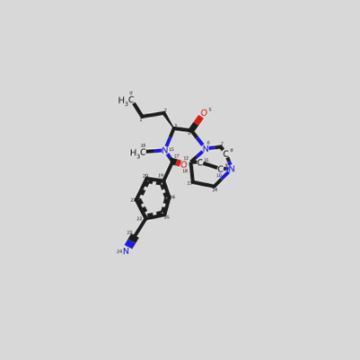 CCC[C@@H](C(=O)N1CCN2CCC1CC2)N(C)C(=O)c1ccc(C#N)cc1